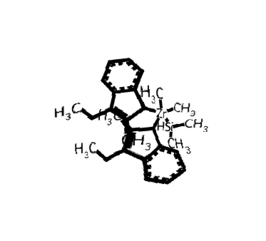 CCC1=C(C)[CH]([Zr]([CH3])([CH3])([CH]2C(C)=C(CC)c3ccccc32)[SiH](C)C)c2ccccc21